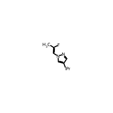 C/C(F)=C/n1cc(C(C)C)cn1